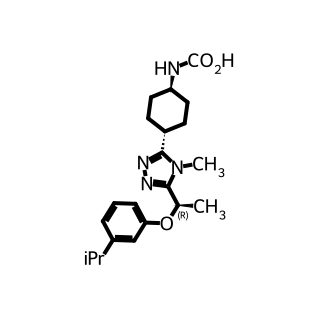 CC(C)c1cccc(O[C@H](C)c2nnc([C@H]3CC[C@H](NC(=O)O)CC3)n2C)c1